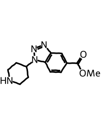 COC(=O)c1ccc2c(c1)nnn2C1CCNCC1